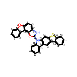 c1ccc2c(c1)oc1ccc3c(c12)OC(n1c2ccccc2c2cc4c(cc21)sc1ccccc14)N3